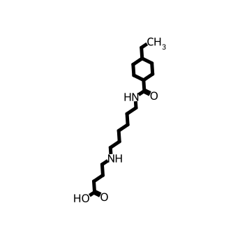 CCC1CCC(C(=O)NCCCCCCNCCCC(=O)O)CC1